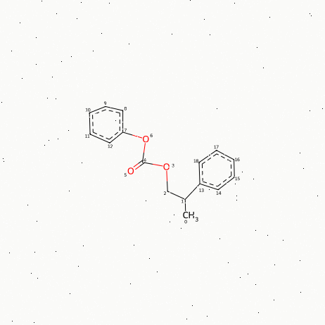 CC(COC(=O)Oc1ccccc1)c1ccccc1